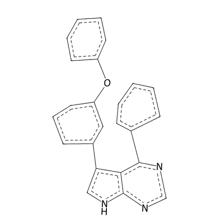 c1ccc(Oc2cccc(-c3c[nH]c4ncnc(-c5ccccc5)c34)c2)cc1